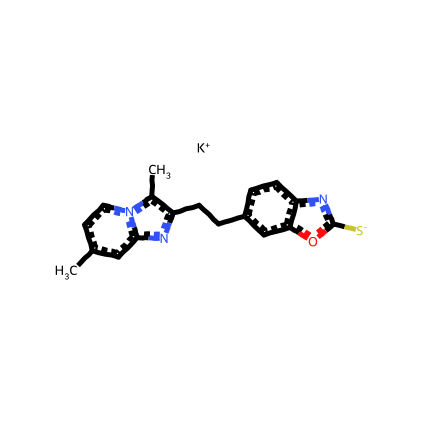 Cc1ccn2c(C)c(CCc3ccc4nc([S-])oc4c3)nc2c1.[K+]